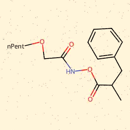 CCCCCOCC(=O)NOC(=O)C(C)Cc1ccccc1